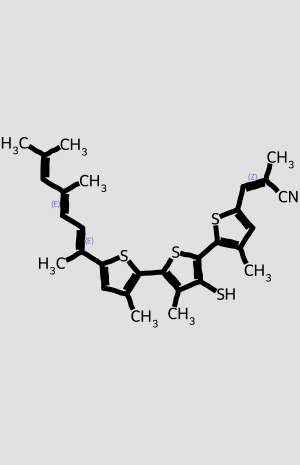 CC(C)=C/C(C)=C/C=C(\C)c1cc(C)c(-c2sc(-c3sc(/C=C(/C)C#N)cc3C)c(S)c2C)s1